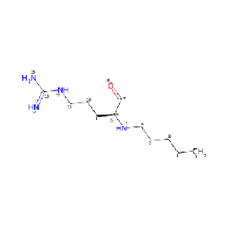 CCCCCN[C@H](C=O)CCCNC(=N)N